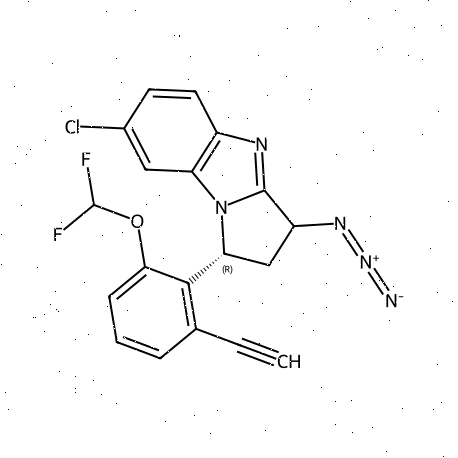 C#Cc1cccc(OC(F)F)c1[C@H]1CC(N=[N+]=[N-])c2nc3ccc(Cl)cc3n21